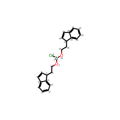 [Cl][Zr]([O]CCC1C=Cc2ccccc21)[O]CCC1C=Cc2ccccc21